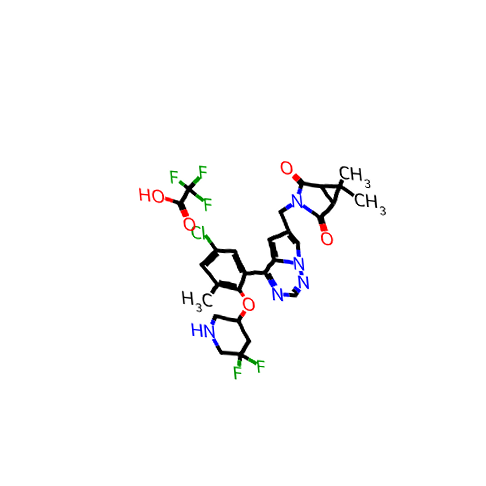 Cc1cc(Cl)cc(-c2ncnn3cc(CN4C(=O)C5C(C4=O)C5(C)C)cc23)c1OC1CNCC(F)(F)C1.O=C(O)C(F)(F)F